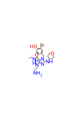 CCNC(=O)c1c(NCCN)nc(NC2CCOCC2)n1Cc1ccc(O)c(Br)c1